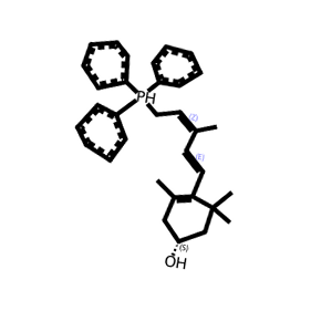 CC1=C(/C=C/C(C)=C\C[PH](c2ccccc2)(c2ccccc2)c2ccccc2)C(C)(C)C[C@H](O)C1